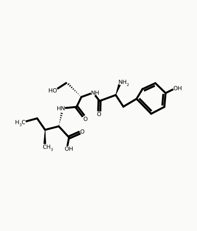 CC[C@H](C)[C@H](NC(=O)[C@H](CO)NC(=O)[C@@H](N)Cc1ccc(O)cc1)C(=O)O